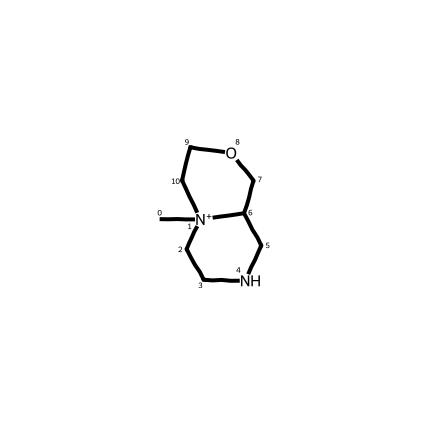 C[N+]12CCNCC1COCC2